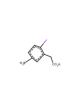 Bc1ccc(I)c(CC(=O)O)c1